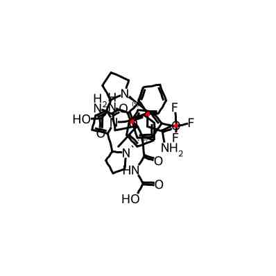 CC1(CC(N)=O)c2ccc(cc2)[C@]1(C(=O)NC(=O)O)N1CCCC1c1ccc(C2CCCN2[C@@]2(C(=O)NC(=O)O)c3ccc(cc3)C2(C)CC(N)=O)n1-c1ccc(C(F)(F)F)cc1